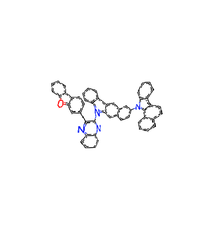 c1ccc2c(c1)ccc1c3ccccc3n(-c3ccc4cc5c(cc4c3)c3ccccc3n5-c3nc4ccccc4nc3-c3ccc4c(c3)oc3ccccc34)c21